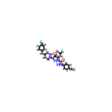 CC(=O)c1ccc(NC(=O)N[C@@H]2C[C@@H](F)CO[C@@H]2CN2CCC(Cc3ccc(F)cc3)CC2)cc1